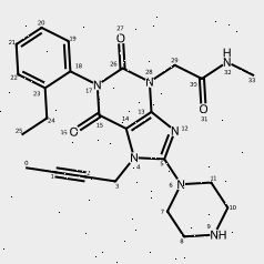 CC#CCn1c(N2CCNCC2)nc2c1c(=O)n(-c1ccccc1CC)c(=O)n2CC(=O)NC